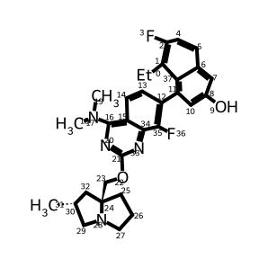 CCc1c(F)ccc2cc(O)cc(-c3ccc4c(N(C)C)nc(OC[C@@]56CCCN5C[C@H](C)C6)nc4c3F)c12